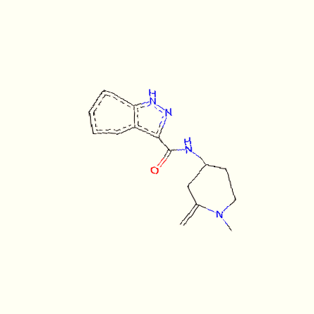 C=C1CC(NC(=O)c2n[nH]c3ccccc23)CCN1C